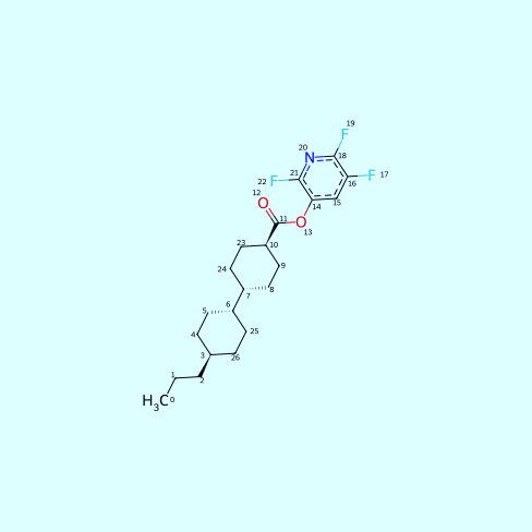 CCC[C@H]1CC[C@H]([C@H]2CC[C@H](C(=O)Oc3cc(F)c(F)nc3F)CC2)CC1